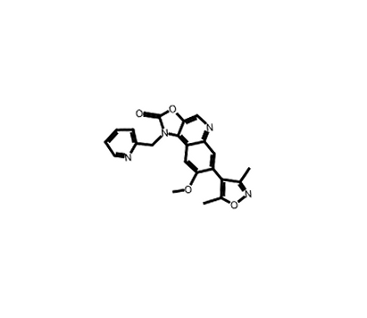 COc1cc2c(cc1-c1c(C)noc1C)ncc1oc(=O)n(Cc3ccccn3)c12